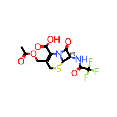 CC(=O)OCC1=C(C(=O)O)N2C(=O)[C@@H](NC(=O)C(F)(F)F)C2SC1